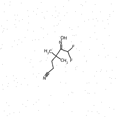 CC(C)(CCC#N)C(=NO)C(F)F